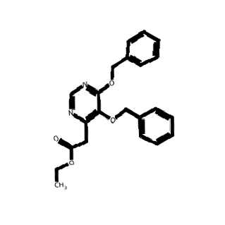 CCOC(=O)Cc1ncnc(OCc2ccccc2)c1OCc1ccccc1